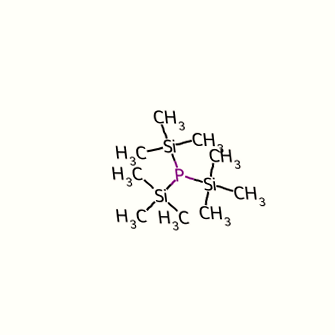 C[Si](C)(C)P([Si](C)(C)C)[Si](C)(C)C